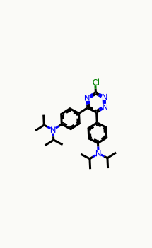 CC(C)N(c1ccc(-c2nnc(Cl)nc2-c2ccc(N(C(C)C)C(C)C)cc2)cc1)C(C)C